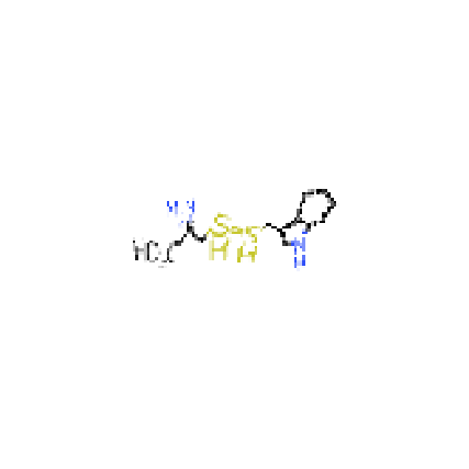 N[C@@H](C[SH]=[SH]Cc1c[nH]c2ccccc12)C(=O)O